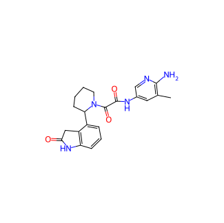 Cc1cc(NC(=O)C(=O)N2CCCCC2c2cccc3c2CC(=O)N3)cnc1N